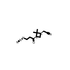 CC1(C)[C@@H](CC#N)C[C@H]1C(=O)CCN=[N+]=[N-]